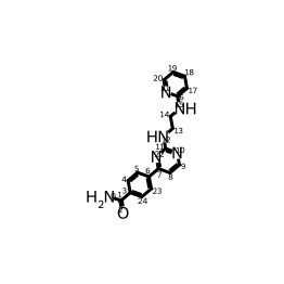 NC(=O)c1ccc(-c2ccnc(NCCNc3ccccn3)n2)cc1